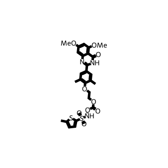 COc1cc(OC)c2c(=O)[nH]c(-c3cc(C)c(OCCOC(=O)ONS(=O)(=O)c4ccc(C)s4)c(C)c3)nc2c1